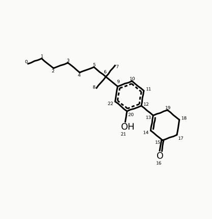 CCCCCCC(C)(C)c1ccc(C2=CC(=O)CCC2)c(O)c1